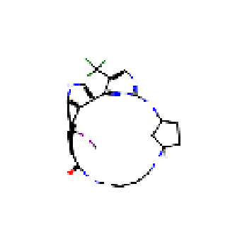 CPc1c2ccc3c(c[nH]c13)-c1nc(ncc1C(F)(F)F)N[C@H]1CC[C@@H](C1)NCCCCNC2=O